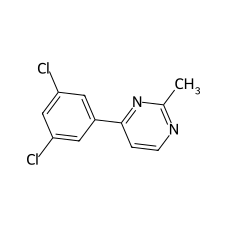 Cc1nccc(-c2cc(Cl)cc(Cl)c2)n1